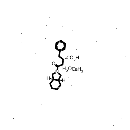 O.O=C(O)[C@H](CC(=O)N1C[C@H]2CCCC[C@H]2C1)Cc1ccccc1.[CaH2]